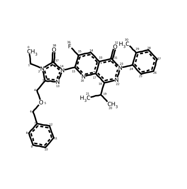 CCn1c(COCc2ccccc2)nn(-c2nc3c(C(C)C)nn(-c4ccccc4C)c(=O)c3cc2F)c1=O